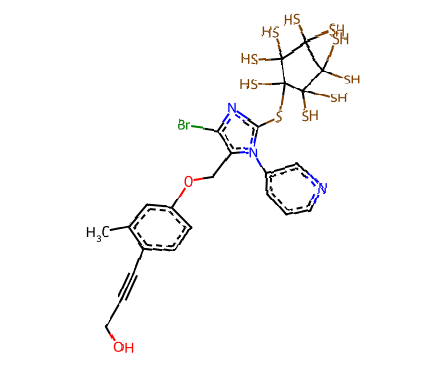 Cc1cc(OCc2c(Br)nc(SC3(S)C(S)(S)C(S)(S)C(S)(S)C3(S)S)n2-c2cccnc2)ccc1C#CCO